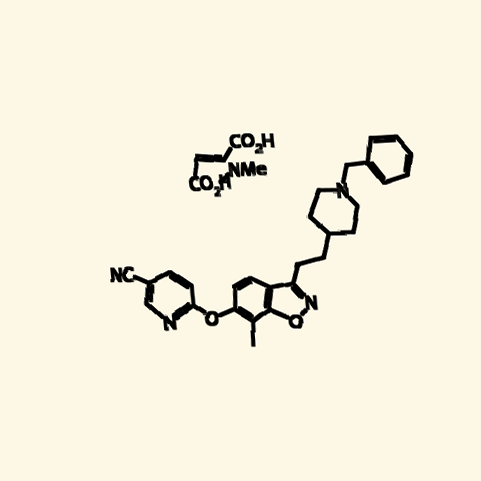 CNC.Cc1c(Oc2ccc(C#N)cn2)ccc2c(CCC3CCN(Cc4ccccc4)CC3)noc12.O=C(O)C=CC(=O)O